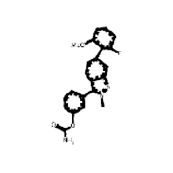 COc1cccc(F)c1-c1ccc2c(-c3cccc(OC(N)=O)c3)n(C)nc2c1